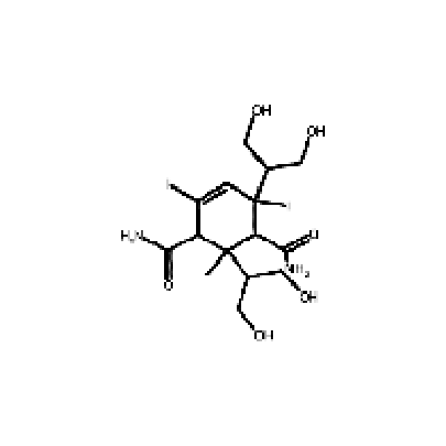 NC(=O)C1C(I)=CC(I)(C(CO)CO)C(C(N)=O)C1(I)C(CO)CO